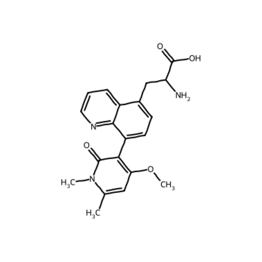 COc1cc(C)n(C)c(=O)c1-c1ccc(CC(N)C(=O)O)c2cccnc12